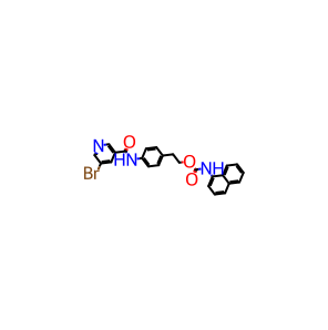 O=C(Nc1cccc2ccccc12)OCCc1ccc(NC(=O)c2cncc(Br)c2)cc1